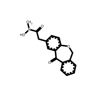 CN(O)C(=O)Cc1ccc2c(c1)C(=O)c1ccccc1CO2